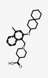 Cc1cc(OC2CCC3(CCCCC3)CC2)c(CN2CCC(C(=O)O)CC2)c2ccccc12